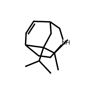 CC(C)C1(C(C)C)CC2C=CC1CCNC2